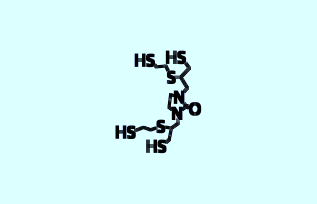 O=C1N(CC(CS)SCCS)CCN1CC(CS)SCCS